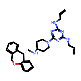 C=CCNc1nc(NCC=C)nc(N2CCC(NC[C@H]3c4ccccc4COc4ccccc43)CC2)n1